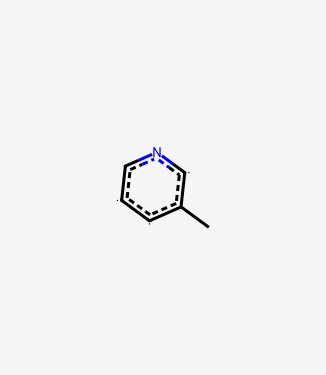 Cc1[c][c]cn[c]1